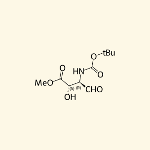 COC(=O)[C@@H](O)[C@H](C=O)NC(=O)OC(C)(C)C